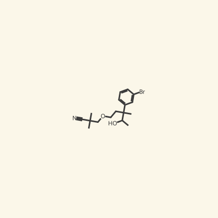 CC(O)C(C)(CCOCC(C)(C)C#N)c1cccc(Br)c1